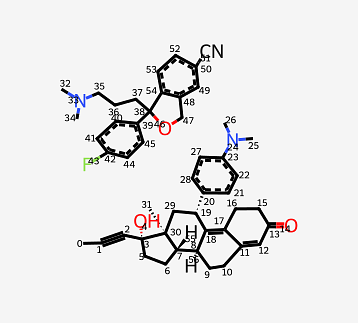 CC#C[C@]1(O)CC[C@H]2[C@@H]3CCC4=CC(=O)CCC4=C3[C@@H](c3ccc(N(C)C)cc3)C[C@@]21C.CN(C)CCCC1(c2ccc(F)cc2)OCc2cc(C#N)ccc21